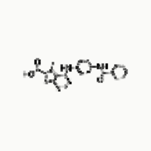 Cc1c(C(=O)O)sc2ncnc(Nc3ccc(NC(=O)c4ccccc4)cc3)c12